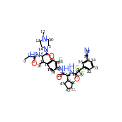 CCC(=O)NC(C(=O)N1CCN(C)CC1)C(C)c1ccc(NC(=O)C(NC(=O)C(F)(F)c2cccc(C#N)c2)C2CCCC2)c(F)c1